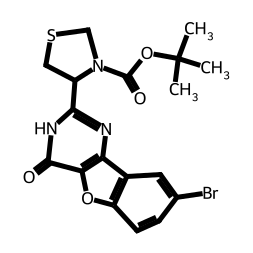 CC(C)(C)OC(=O)N1CSCC1c1nc2c(oc3ccc(Br)cc32)c(=O)[nH]1